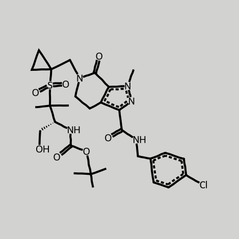 Cn1nc(C(=O)NCc2ccc(Cl)cc2)c2c1C(=O)N(CC1(S(=O)(=O)C(C)(C)[C@@H](CO)NC(=O)OC(C)(C)C)CC1)CC2